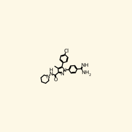 Cc1c(C(=O)NN2CCCCC2)nn(-c2ccc(C(=N)N)cc2)c1-c1ccc(Cl)cc1